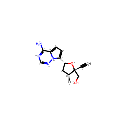 C#C[C@]1(CO)O[C@@H](c2ccc3c(N)ncnn23)C[C@@H]1C